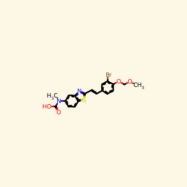 COCOc1ccc(C=Cc2nc3cc(N(C)C(=O)O)ccc3s2)cc1Br